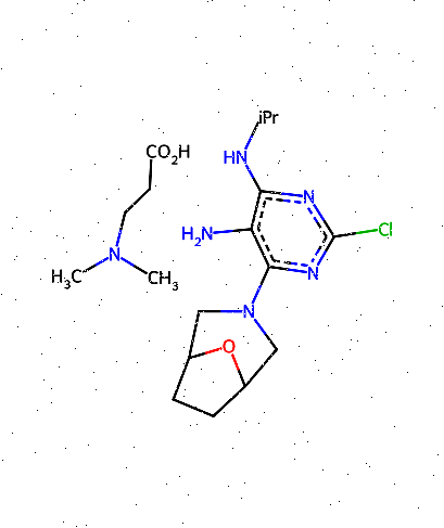 CC(C)Nc1nc(Cl)nc(N2CC3CCC(C2)O3)c1N.CN(C)CCC(=O)O